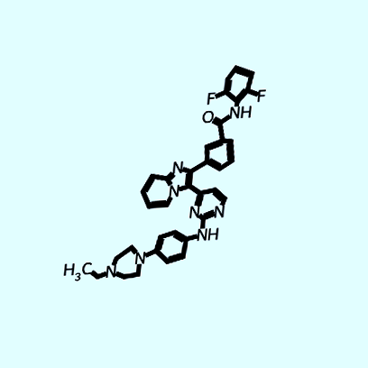 CCN1CCN(c2ccc(Nc3nccc(-c4c(-c5cccc(C(=O)Nc6c(F)cccc6F)c5)nc5ccccn45)n3)cc2)CC1